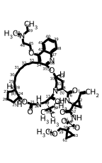 C=CC1C[C@]1(NC(=O)[C@@H]1C[C@@H]2CN1C(=O)[C@H](C(C)(C)C)NC(=O)O[C@@H]1CCC[C@H]1CCCCCc1c(nc3ccccc3c1OCCN(C)CC)O2)C(=O)NS(=O)(=O)C1(COC)CC1